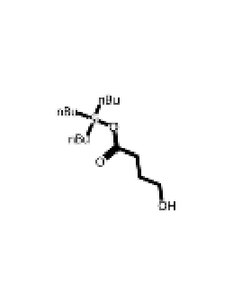 CCCC[Si](CCCC)(CCCC)OC(=O)CCCO